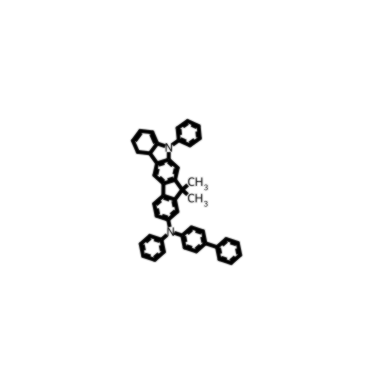 CC1(C)c2cc(N(c3ccccc3)c3ccc(-c4ccccc4)cc3)ccc2-c2cc3c(cc21)N(c1ccccc1)C1=CC=CCC13